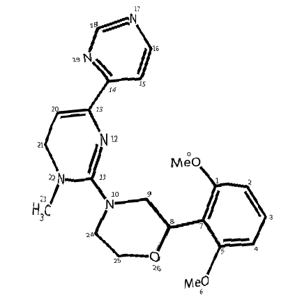 COc1cccc(OC)c1C1CN(C2=NC(c3ccncn3)=CCN2C)CCO1